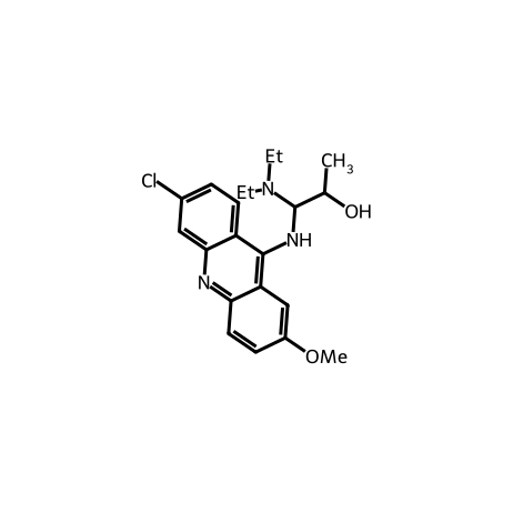 CCN(CC)C(Nc1c2ccc(Cl)cc2nc2ccc(OC)cc12)C(C)O